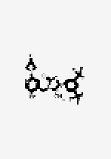 C[C@H]1[C@@H](c2cc(C(F)(F)F)cc(C(F)(F)F)c2)OC(=O)N1Cc1cc(N2CC(F)C2)ncc1Br